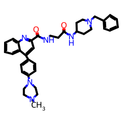 CN1CCN(c2ccc(-c3cc(C(=O)NCCC(=O)NC4CCN(Cc5ccccc5)CC4)nc4ccccc34)cc2)CC1